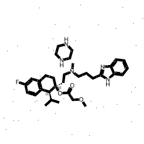 C1CNCCN1.COCC(=O)O[C@]1(CCN(C)CCCc2nc3ccccc3[nH]2)CCc2cc(F)ccc2[C@@H]1C(C)C